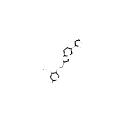 COc1cc(C=O)c(OCc2cn3cc(-c4cc[nH]n4)ccc3n2)cn1